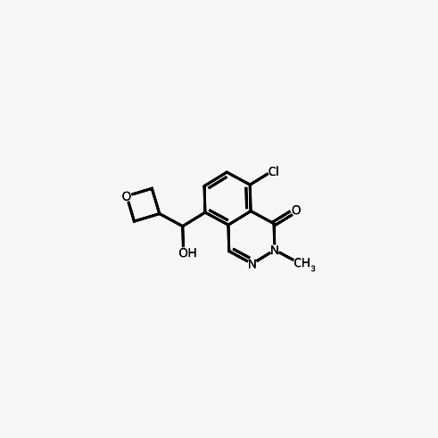 Cn1ncc2c(C(O)C3COC3)ccc(Cl)c2c1=O